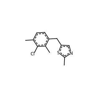 Cc1ncc(Cc2ccc(C)c(Cl)c2C)s1